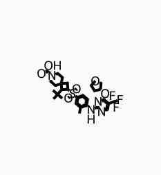 Cc1cc(S(=O)(=O)C2CC3(CCN(C(=O)O)CC3)C2C(C)(C)C)ccc1Nc1ncc(C(F)(F)F)c(OC2CCOC2)n1